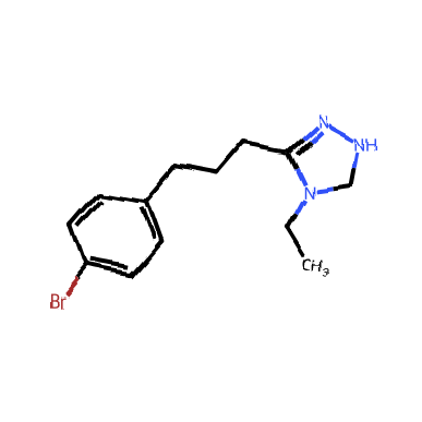 CCN1CNN=C1CCCc1ccc(Br)cc1